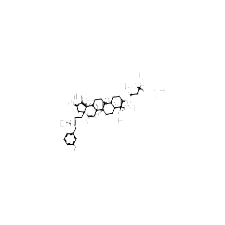 CCN(Cc1cccc(Cl)c1)C[C@H](O)[C@@]12CC[C@]3(C)[C@H](CC[C@@H]4[C@@]5(C)CC[C@H](OC(=O)CC(C)(C)C(=O)O)C(C)(C)C5CC[C@]43C)C1=C(C(C)C)C(=O)C2